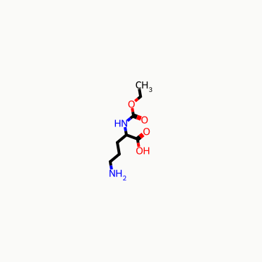 CCOC(=O)NC(CCCN)C(=O)O